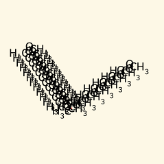 CC(C)=O.CCOC(C)=O.CCOC(C)=O.CCOC(C)=O.CCOC(C)=O.CCOC(C)=O.CCOC(C)=O.CCOC(C)=O.CCOC(C)=O.CCOC(C)=O.CCOC(C)=O.CCOC(C)=O.CCOC(C)=O.CCOC(C)=O.CCOC(C)=O.CCOC(C)=O.CCOC(C)=O.CCOC(C)=O.CCOC(C)=O.CCOC(C)=O